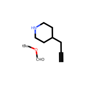 C#CCC1CCNCC1.CC(C)(C)OC=O